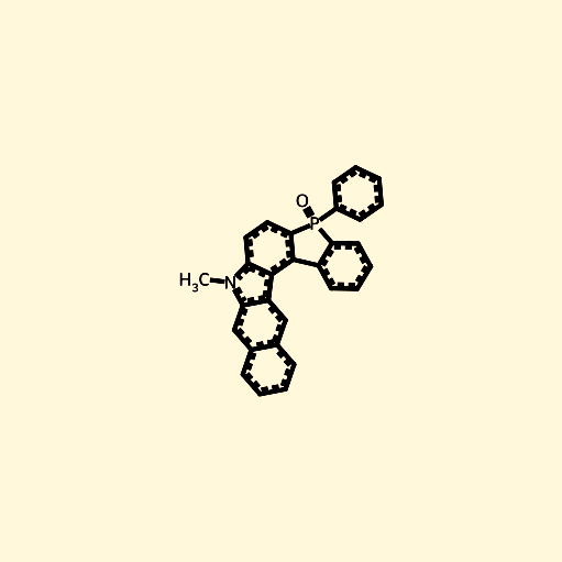 Cn1c2cc3ccccc3cc2c2c3c(ccc21)P(=O)(c1ccccc1)c1ccccc1-3